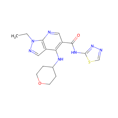 CCn1ncc2c(NC3CCOCC3)c(C(=O)Nc3nncs3)cnc21